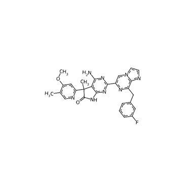 COc1cc(C2(C)C(=O)Nc3nc(-c4cn5ccnc5c(Cc5cccc(F)c5)n4)nc(N)c32)ncc1C